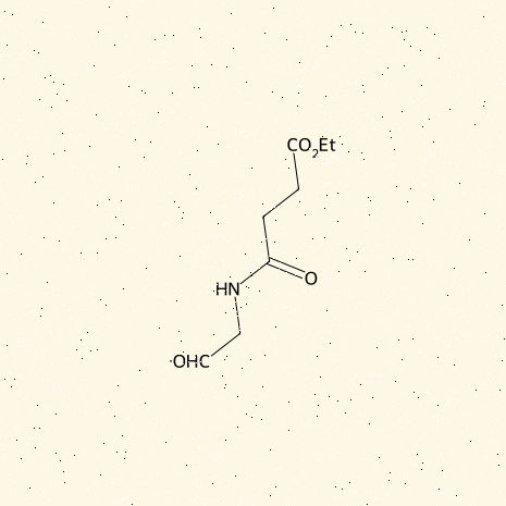 CCOC(=O)CCC(=O)NC[C]=O